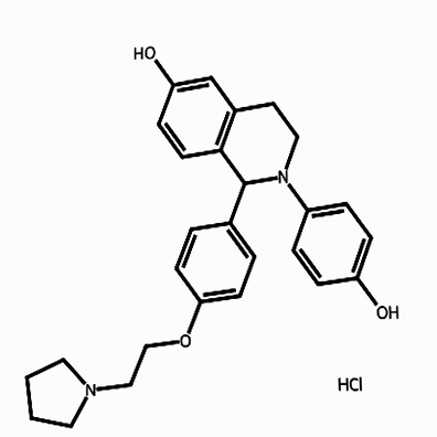 Cl.Oc1ccc(N2CCc3cc(O)ccc3C2c2ccc(OCCN3CCCC3)cc2)cc1